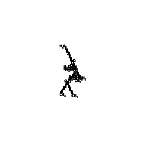 CCCCCCCCCCCC(=O)OCCCC(CN(CCCCN)CC(CCCCCOC(=O)C(CCCCCCCC)CCCCCCCC)O[Si](C)(C)C(C)(C)C)O[Si](C)(C)C(C)(C)C